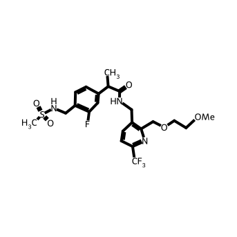 COCCOCc1nc(C(F)(F)F)ccc1CNC(=O)C(C)c1ccc(CNS(C)(=O)=O)c(F)c1